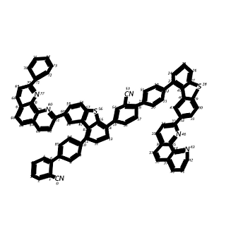 N#Cc1ccccc1-c1ccc(-c2ccc(-c3ccc(-c4ccc(-c5cccc6sc7ccc(-c8ccc9ccc%10cccnc%10c9n8)cc7c56)cc4)c(C#N)c3)c3sc4ccc(-c5ccc6ccc7ccc(-c8ccccc8)nc7c6n5)cc4c23)cc1